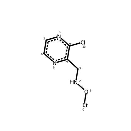 CCONCc1nccnc1Cl